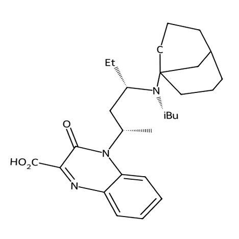 CC[C@@H](C[C@H](C)n1c(=O)c(C(=O)O)nc2ccccc21)N([C@@H](C)CC)C12CCCC(CCC1)C2